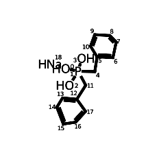 OP(O)(O)(Cc1ccccc1)Cc1ccccc1.[NaH]